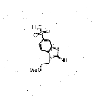 COCCn1c(=N)sc2cc(S(C)(=O)=O)ccc21